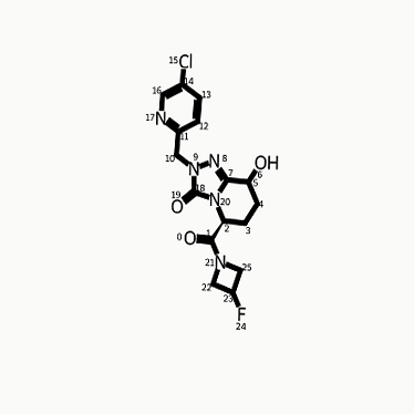 O=C([C@@H]1CCC(O)c2nn(Cc3ccc(Cl)cn3)c(=O)n21)N1CC(F)C1